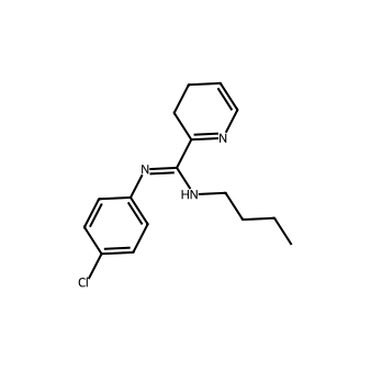 CCCCNC(=Nc1ccc(Cl)cc1)C1=NC=CCC1